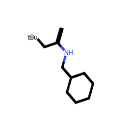 C=C(CC(C)(C)C)NCC1CCCCC1